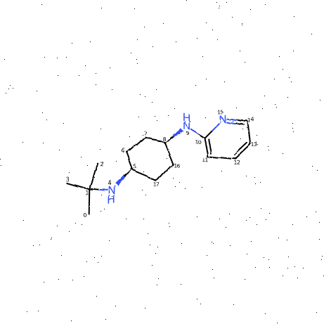 CC(C)(C)N[C@H]1CC[C@@H](Nc2ccccn2)CC1